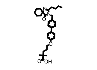 CCCCC1=NC2(CCCCC2)C(=O)N1Cc1ccc(-c2ccc(OCCCC(C)(C)C(=O)O)cc2)cc1